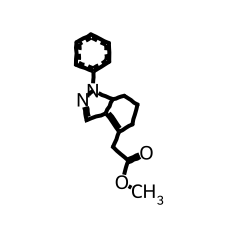 COC(=O)CC1=C2C=NN(c3ccccc3)C2CCC1